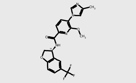 COc1nc(C(=O)N[C@@H]2COc3ccc(C(F)(F)F)cc32)ccc1-n1cnc(C)c1